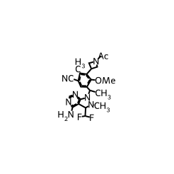 COc1c(C(C)N2c3ncnc(N)c3C(C(F)F)N2C)cc(C#N)c(C)c1C1CN(C(C)=O)C1